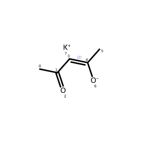 CC(=O)/C=C(/C)[O-].[K+]